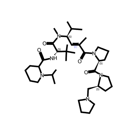 C/C(=C\[C@H](C(C)C)N(C)C(=O)[C@@H](NC(=O)C1CCCCN1C(C)C)C(C)(C)C)C(=O)N1CCC[C@H]1C(=O)N1CCC[C@H]1CN1CCCC1